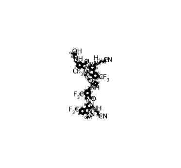 Cn1cnnc1-c1ccc(C(F)(F)F)cc1-c1cc(NCCCC#N)nc(N2Cc3c(cc(CNC4(COCn5cnnc5-c5ccc(C(F)(F)F)cc5-c5cc(NCCCC#N)nc(N6Cc7c(cc(CNCC(C)(C)O)cc7C(F)(F)F)C6=O)c5)CCC4)cc3C(F)(F)F)C2=O)c1